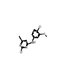 COc1cc(Nc2cc(C)nc(Cl)n2)ccc1Cl